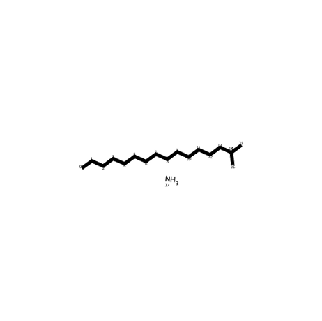 CCCCCCCCCCCCCCC(C)C.N